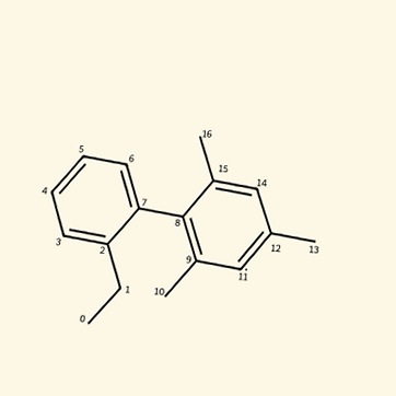 CCc1ccccc1-c1c(C)[c]c(C)cc1C